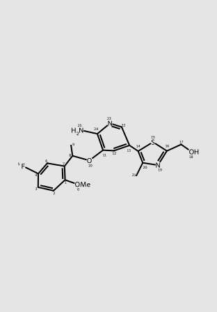 COc1ccc(F)cc1C(C)Oc1cc(-c2sc(CO)nc2C)cnc1N